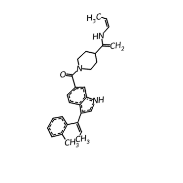 C=C(N/C=C\C)C1CCN(C(=O)c2ccc3c(/C(=C/C)c4ccccc4C)c[nH]c3c2)CC1